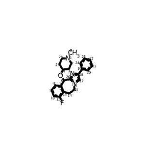 CN1CCC(OC2c3cccc(F)c3CCn3cc(-c4ccccc4)nc32)CC1